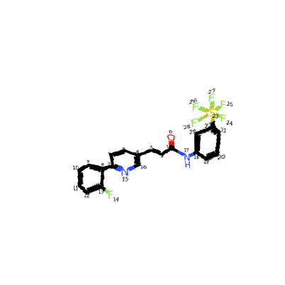 O=C(/C=C/c1ccc(-c2ccccc2F)nc1)Nc1cccc(S(F)(F)(F)(F)F)c1